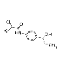 CCC(O)c1ccc(NC(=O)C(Cl)Cl)cc1